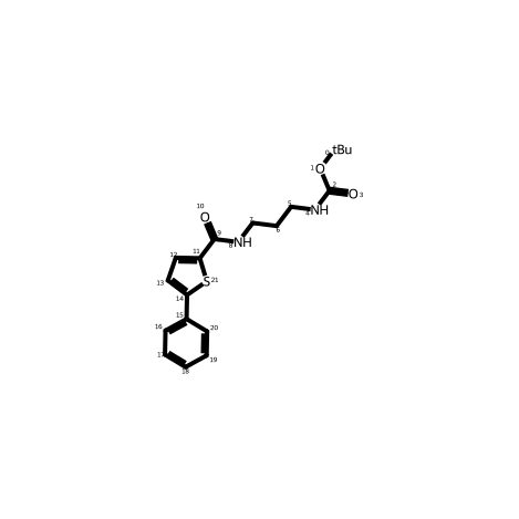 CC(C)(C)OC(=O)NCCCNC(=O)c1ccc(-c2ccccc2)s1